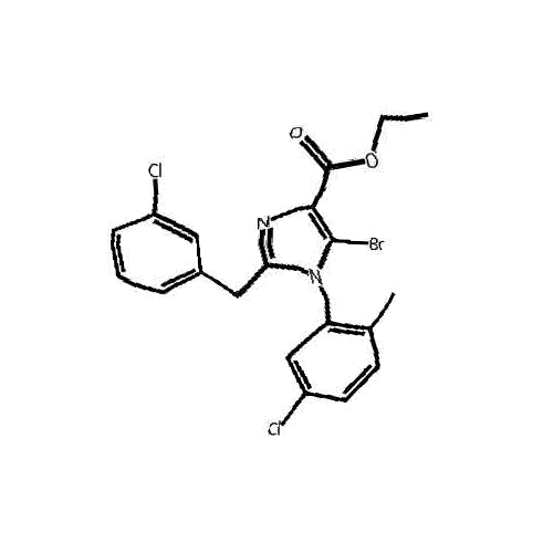 CCOC(=O)c1nc(Cc2cccc(Cl)c2)n(-c2cc(Cl)ccc2C)c1Br